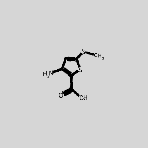 CSc1cc(N)c(C(=O)O)s1